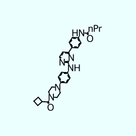 CCCC(=O)Nc1ccc(-c2ccnc(Nc3ccc(N4CCN(C(=O)C5CCC5)CC4)cc3)n2)cc1